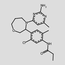 CCC(=O)Nc1cc(Cl)c(C2COCCCN2c2cc(C)nc(N)n2)cc1C